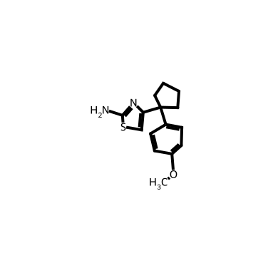 COc1ccc(C2(c3csc(N)n3)CCCC2)cc1